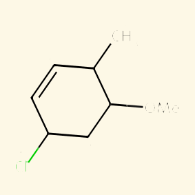 COC1CC(Cl)C=CC1C